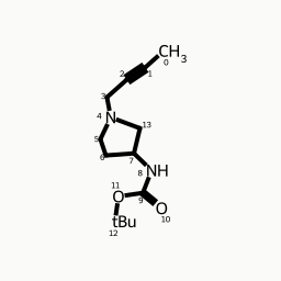 CC#CCN1CCC(NC(=O)OC(C)(C)C)C1